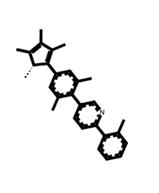 CC1=C(C)[C@@H](C)C(c2cc(C)c(-c3ccc(-c4ccccc4C)nc3)c(C)c2)=C1C